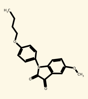 CCCCOc1ccc(N2C(=O)C(=O)c3cc(OC)ccc32)cc1